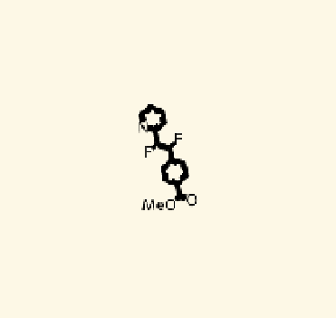 COC(=O)c1ccc(/C(F)=C(\F)c2ccccn2)cc1